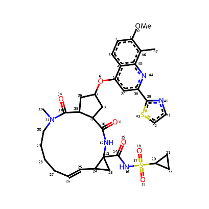 COc1ccc2c(OC3CC4C(=O)NC5(C(=O)NS(=O)(=O)C6CC6)CC5/C=C/CCCCN(C)C(=O)C4C3)cc(-c3nccs3)nc2c1C